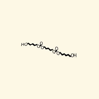 O=C(OCCCCCO)OCCCCCOC(=O)OCCCCCCO